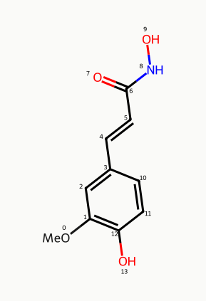 COc1cc(C=CC(=O)NO)ccc1O